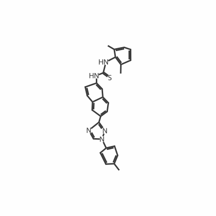 Cc1ccc(-n2cnc(-c3ccc4cc(NC(=S)Nc5c(C)cccc5C)ccc4c3)n2)cc1